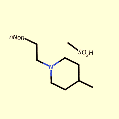 CCCCCCCCCCCN1CCC(C)CC1.CS(=O)(=O)O